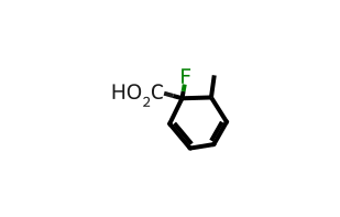 CC1C=CC=CC1(F)C(=O)O